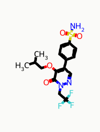 CC(C)COc1c(-c2ccc(S(N)(=O)=O)cc2)cnn(CC(F)(F)F)c1=O